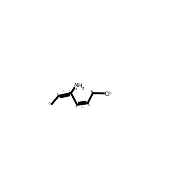 C/C=C(N)\C=C/CCl